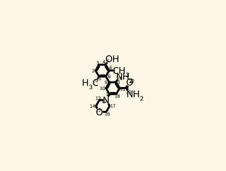 Cc1ccc(O)c(C)c1-c1cc(N2CCOCC2)cc(C(N)=O)c1N